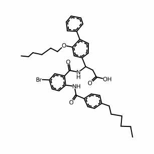 CCCCCCOc1cc(C(CC(=O)O)NC(=O)c2cc(Br)ccc2NC(=O)c2ccc(CCCCCC)cc2)ccc1-c1ccccc1